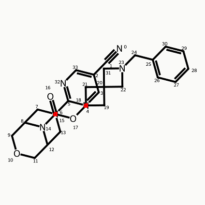 N#Cc1cnc(N2CC3COCC(C2)N3C(=O)OC2CC3(C2)CN(Cc2ccccc2)C3)nc1